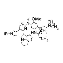 C=CC(=O)Nc1cc(Nc2ncc(-c3ccn(C(C)C)c3)c(-c3cn4c5c(cccc35)CCC4)n2)c(OC)cc1N(C)CCN(C)C